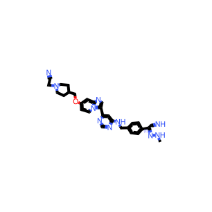 CN/N=C(\C=N)c1ccc(CNc2cc(-c3cnc4cc(OCC5CCN(CC#N)CC5)ccn34)ncn2)cc1